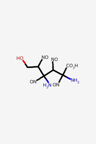 NC(N=O)(C(=O)O)C(N=O)C(N)(N=O)C(CO)N=O